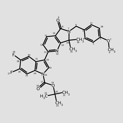 COc1ccc(CN2C(=O)c3ccc(-c4cn(C(=O)OC(C)(C)C)c5cc(F)c(F)cc45)nc3C2(C)C)cc1